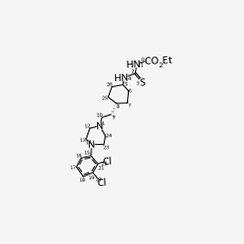 CCOC(=O)NC(=S)N[C@H]1CC[C@H](CCN2CCN(c3cccc(Cl)c3Cl)CC2)CC1